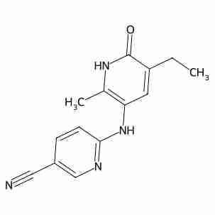 CCc1cc(Nc2ccc(C#N)cn2)c(C)[nH]c1=O